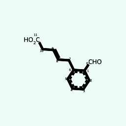 O=Cc1ccccc1CC=CCC(=O)O